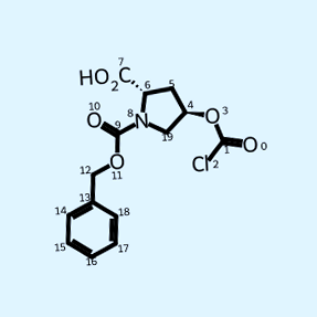 O=C(Cl)O[C@@H]1C[C@@H](C(=O)O)N(C(=O)OCc2ccccc2)C1